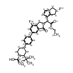 CCOC(=O)C(c1ncn2c1C[C@@H](F)C2)N1Cc2c(F)cc(-c3ccc(N4CCN(C(=O)O)C(C(C)(C)C)C4)cc3)cc2C1=O